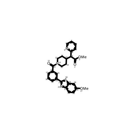 COC(=O)C(c1ccccn1)C1CCN(C(=O)c2cccc(-c3nc4ccc(OC)cc4s3)c2)CC1